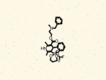 CC1=C(C(=O)OCCN(C)Cc2ccccc2)C(c2ccccc2OC(F)F)C(P2(=O)OCCCO2)=C(C)N1